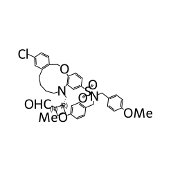 COc1ccc(CN(Cc2ccc(OC)cc2)S(=O)(=O)c2ccc3c(c2)N(C[C@@H]2CC[C@H]2C=O)CCCCc2cc(Cl)ccc2CO3)cc1